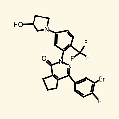 O=c1c2c(c(-c3ccc(F)c(Br)c3)nn1-c1cc(N3CCC(O)C3)ccc1C(F)(F)F)CCC2